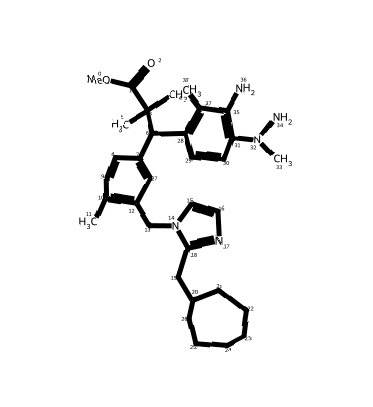 COC(=O)C(C)(C)C(c1ccc(C)c(Cn2ccnc2CC2CCCCCC2)c1)c1ccc(N(C)N)c(N)c1C